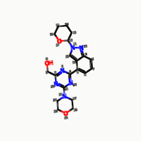 OCc1nc(-c2cccc3nn(C4CCCCO4)cc23)nc(N2CCOCC2)n1